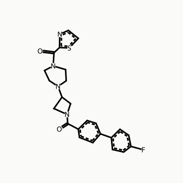 O=C(c1ccc(-c2ccc(F)cc2)cc1)N1CC(N2CCN(C(=O)c3nccs3)CC2)C1